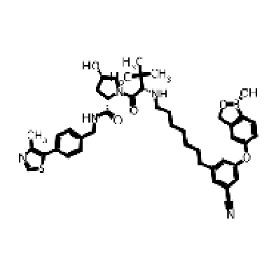 Cc1ncsc1-c1ccc(CNC(=O)[C@@H]2C[C@@H](O)CN2C(=O)[C@@H](NCCCCCCCc2cc(C#N)cc(Oc3ccc4c(c3)COB4O)c2)C(C)(C)C)cc1